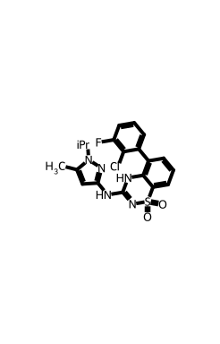 Cc1cc(NC2=NS(=O)(=O)c3cccc(-c4cccc(F)c4Cl)c3N2)nn1C(C)C